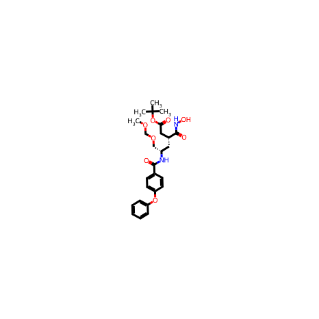 COCOC[C@H](C[C@H](CC(=O)OC(C)(C)C)C(=O)NO)NC(=O)c1ccc(Oc2ccccc2)cc1